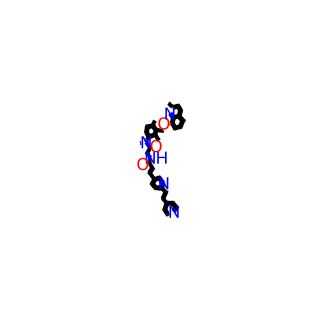 Cc1ccc2cccc(OCc3c(C)ccc(N(C)C(=O)CNC(=O)/C=C/c4ccc(/C=C/c5ccncc5)nc4)c3C)c2n1